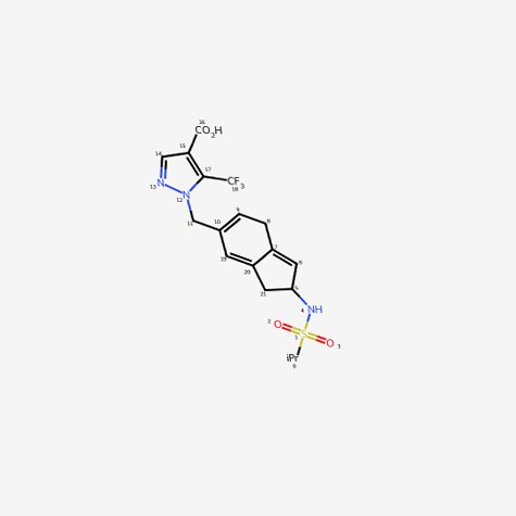 CC(C)S(=O)(=O)NC1C=C2CC=C(Cn3ncc(C(=O)O)c3C(F)(F)F)C=C2C1